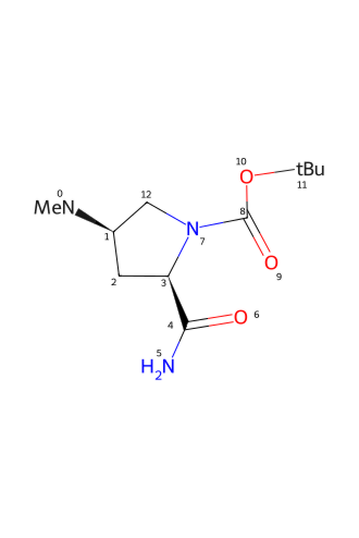 CN[C@@H]1C[C@H](C(N)=O)N(C(=O)OC(C)(C)C)C1